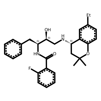 CCc1ccc2c(c1)[C@@H](NC[C@H](O)[C@H](Cc1ccccc1)NC(=O)c1ccccc1F)CC(C)(C)O2